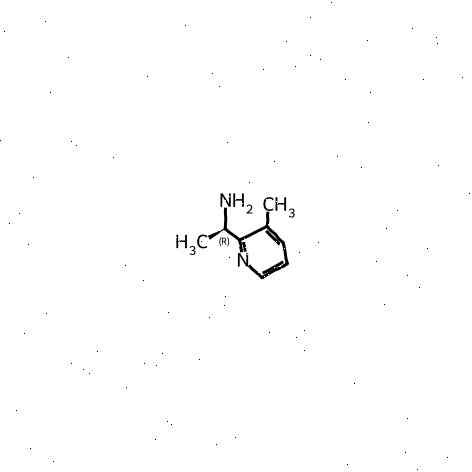 Cc1cccnc1[C@@H](C)N